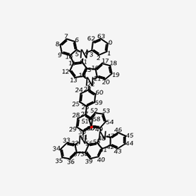 c1ccc(-n2c3ccccc3c3ccc4c(c5ccccc5n4-c4ccc(-c5ccc(-n6c7ccccc7c7ccc8c9ccccc9n(-c9ccccc9)c8c76)cc5)cc4)c32)cc1